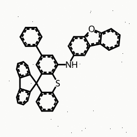 c1ccc(-c2cc(Nc3ccc4oc5ccccc5c4c3)c3c(c2)C2(c4ccccc4S3)c3ccccc3-c3ccccc32)cc1